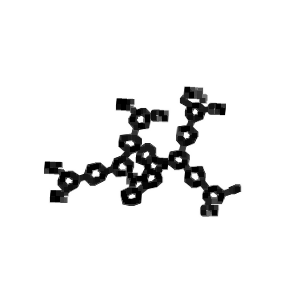 C#Cc1cc(C#N)cc(-c2ccc(-c3cc(-c4ccc(-c5cc(C#N)cc(CN)c5)cc4)cc(-n4c5ccccc5c5c4ccc4c6ccccc6n(-c6cc(-c7ccc(-c8cc(C#N)cc(C#N)c8)cc7)cc(-c7ccc(-c8cc(C#N)cc(C#N)c8)cc7)c6)c45)c3)cc2)c1